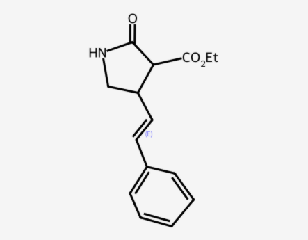 CCOC(=O)C1C(=O)NCC1/C=C/c1ccccc1